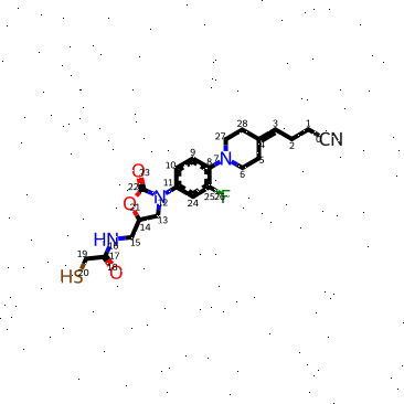 N#CCCC=C1CCN(c2ccc(N3CC(CNC(=O)CS)OC3=O)cc2F)CC1